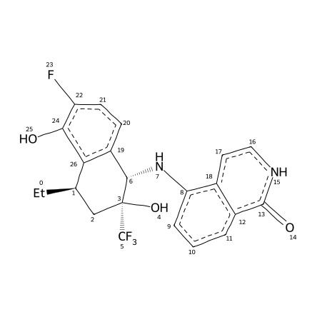 CC[C@@H]1C[C@@](O)(C(F)(F)F)[C@@H](Nc2cccc3c(=O)[nH]ccc23)c2ccc(F)c(O)c21